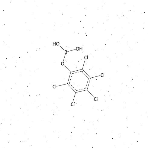 OB(O)Oc1c(Cl)c(Cl)c(Cl)c(Cl)c1Cl